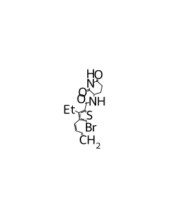 C=C/C=C\c1c(Br)sc(C(=O)NC2CCC(=O)NC2=O)c1CC